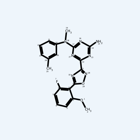 COc1cccc(F)c1-c1nc(-c2nc(N)nc(N(C)c3cccc(C)c3)n2)no1